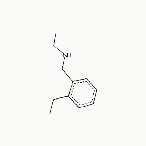 CCNCc1ccccc1CC